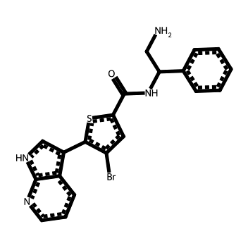 NCC(NC(=O)c1cc(Br)c(-c2c[nH]c3ncccc23)s1)c1ccccc1